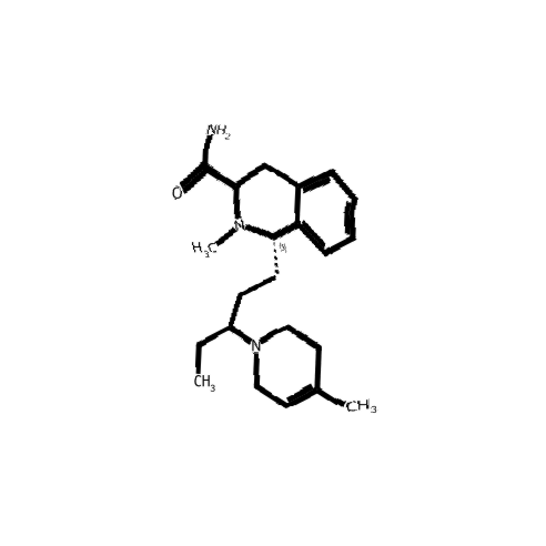 CCC(CC[C@H]1c2ccccc2CC(C(N)=O)N1C)N1CC=C(C)CC1